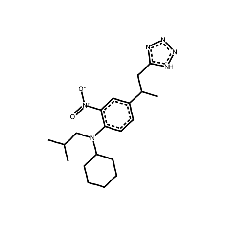 CC(C)CN(c1ccc(C(C)Cc2nnn[nH]2)cc1[N+](=O)[O-])C1CCCCC1